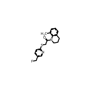 Cc1cccc2c1N(C(=O)CSc1ccc(CF)cn1)CCC2